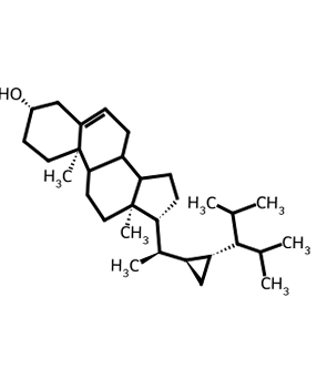 CC(C)C(C(C)C)[C@@H]1C[C@H]1[C@@H](C)[C@H]1CCC2C3CC=C4C[C@@H](O)CC[C@]4(C)C3CC[C@@]21C